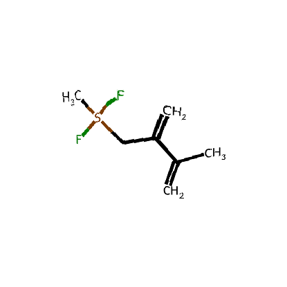 C=C(C)C(=C)CS(C)(F)F